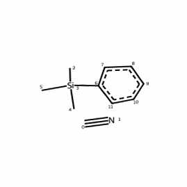 C#N.C[Si](C)(C)c1ccccc1